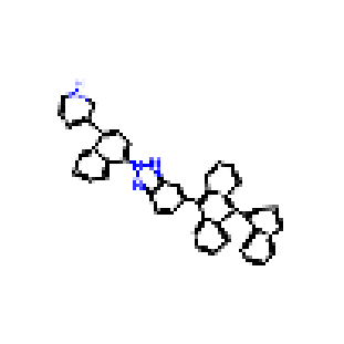 C1=CNCC(c2ccc(-n3nc4ccc(-c5c6ccccc6c(-c6cccc7ccccc67)c6ccccc56)cc4n3)c3ccccc23)=C1